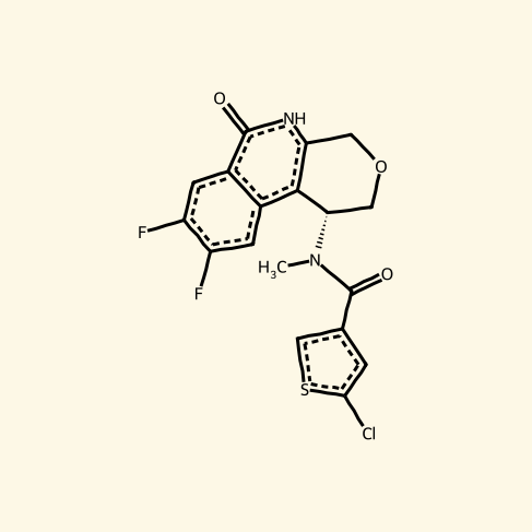 CN(C(=O)c1csc(Cl)c1)[C@H]1COCc2[nH]c(=O)c3cc(F)c(F)cc3c21